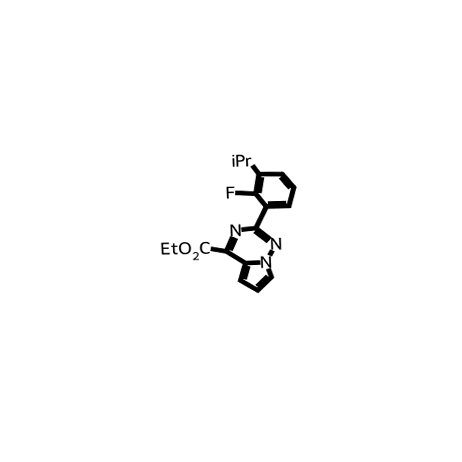 CCOC(=O)c1nc(-c2cccc(C(C)C)c2F)nn2cccc12